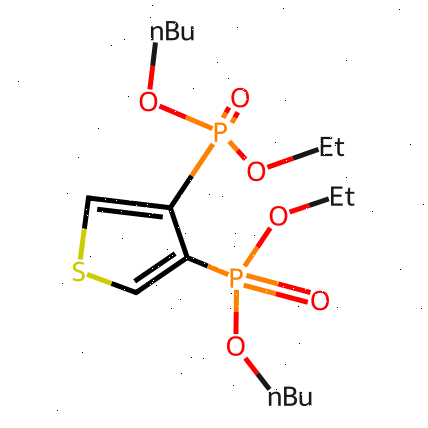 CCCCOP(=O)(OCC)c1cscc1P(=O)(OCC)OCCCC